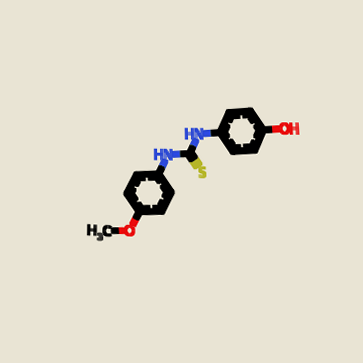 COc1ccc(NC(=S)Nc2ccc(O)cc2)cc1